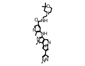 Cc1ncc(C(=O)NCCN2CCOC(C)(C)C2)cc1Nc1nn(C)c2c1cnn1cc(-c3cnn(C)c3)cc21